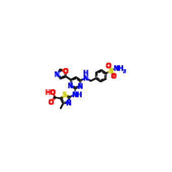 Cc1nc(Nc2nc(NCc3ccc(S(N)(=O)=O)cc3)cc(-c3cnco3)n2)sc1C(=O)O